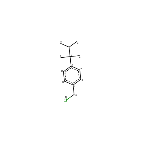 CC(C)C(C)(C)c1ccc(CCl)cc1